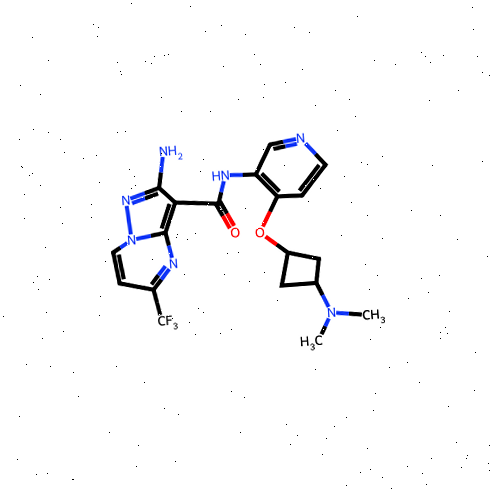 CN(C)C1CC(Oc2ccncc2NC(=O)c2c(N)nn3ccc(C(F)(F)F)nc23)C1